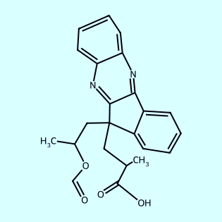 CC(CC1(CC(C)C(=O)O)c2ccccc2-c2nc3ccccc3nc21)OC=O